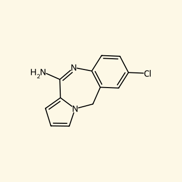 NC1=Nc2ccc(Cl)cc2Cn2cccc21